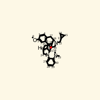 COc1ccc2c(c1)C13CCN(CC4CC4)C(C2)C12CCC1C3[C@@H](CN1c1ccccc1N(C)C)C2